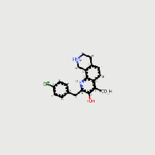 O=C(O)c1c(O)c(Cc2ccc(Cl)cc2)nc2c3c(ccc12)CCNC3